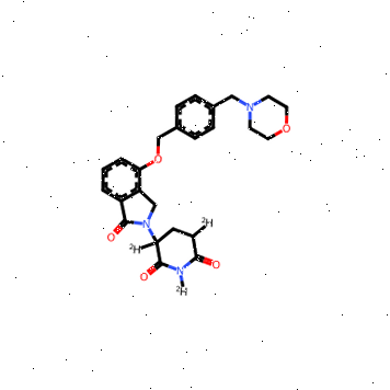 [2H]C1CC([2H])(N2Cc3c(OCc4ccc(CN5CCOCC5)cc4)cccc3C2=O)C(=O)N([2H])C1=O